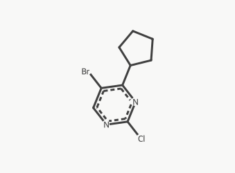 Clc1ncc(Br)c(C2CCCC2)n1